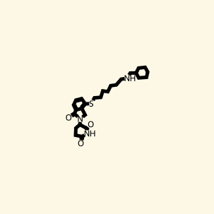 O=C1CCC(N2Cc3c(SCCCCCCCNCC4CCCCC4)cccc3C2=O)C(=O)N1